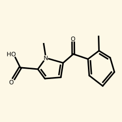 Cc1ccccc1C(=O)c1ccc(C(=O)O)n1C